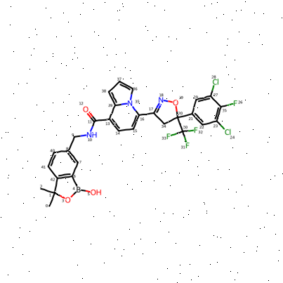 CC1(C)OB(O)c2cc(CNC(=O)c3ccc(C4=NOC(c5cc(Cl)c(F)c(Cl)c5)(C(F)(F)F)C4)n4cccc34)ccc21